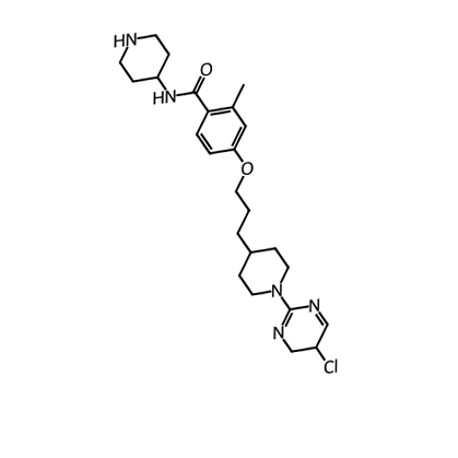 Cc1cc(OCCCC2CCN(C3=NCC(Cl)C=N3)CC2)ccc1C(=O)NC1CCNCC1